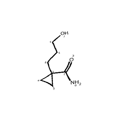 NC(=O)C1([CH]CCO)CC1